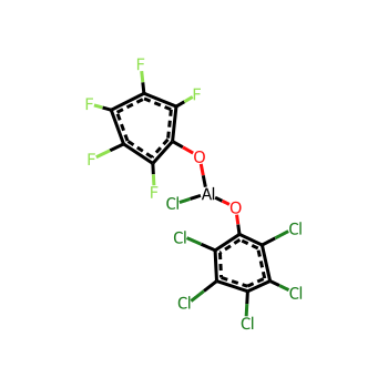 Fc1c(F)c(F)c([O][Al]([Cl])[O]c2c(Cl)c(Cl)c(Cl)c(Cl)c2Cl)c(F)c1F